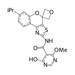 COc1ncnc(O)c1C(=O)Nc1nc2c(s1)C1(COC1)Oc1cc(C(C)C)ccc1-2